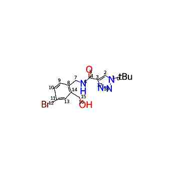 CC(C)(C)n1cc(C(=O)NCc2ccc(Br)cc2CO)nn1